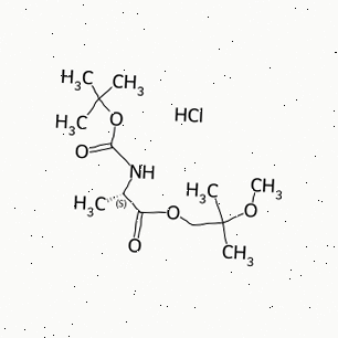 COC(C)(C)COC(=O)[C@H](C)NC(=O)OC(C)(C)C.Cl